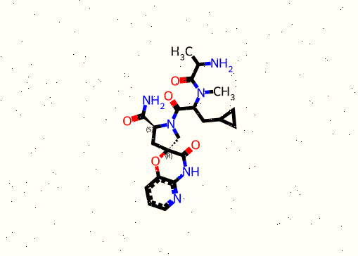 CC(N)C(=O)N(C)C(CC1CC1)C(=O)N1C[C@@]2(C[C@H]1C(N)=O)Oc1cccnc1NC2=O